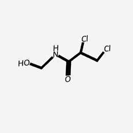 O=C(NCO)C(Cl)CCl